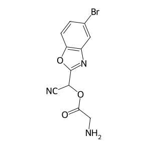 N#CC(OC(=O)CN)c1nc2cc(Br)ccc2o1